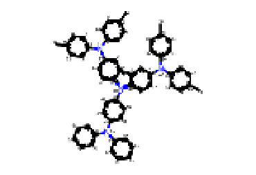 Cc1ccc(N(c2ccc(C)cc2)c2ccc3c(c2)c2cc(N(c4ccc(C)cc4)c4ccc(C)cc4)ccc2n3-c2ccc(N(c3ccccc3)c3ccccc3)cc2)cc1